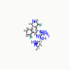 Cc1cc(N/C(N)=N/C(=C(\N)c2ccncc2F)c2ccccc2F)[nH]n1